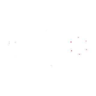 COc1c2c(c(OC)c3c1C1c4ccccc4C3c3ccccc31)CC(C(=O)O)C2